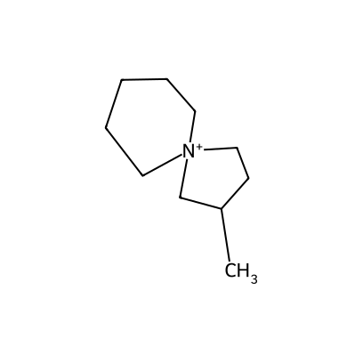 CC1CC[N+]2(CCCCC2)C1